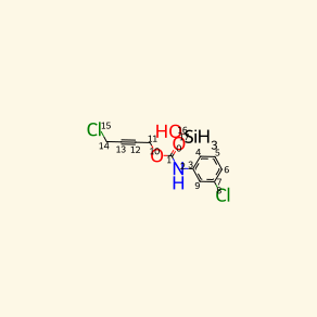 O=C(Nc1cccc(Cl)c1)OCC#CCCl.O[SiH3]